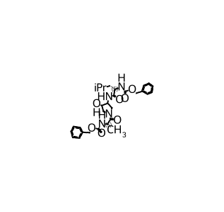 CC(C)C[C@H](NC(=O)OCc1ccccc1)C(=O)NC1CN(C(=O)[C@H](C)NC(=O)OCc2ccccc2)CC1O